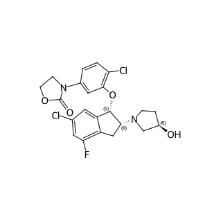 O=C1OCCN1c1ccc(Cl)c(O[C@H]2c3cc(Cl)cc(F)c3C[C@H]2N2CC[C@@H](O)C2)c1